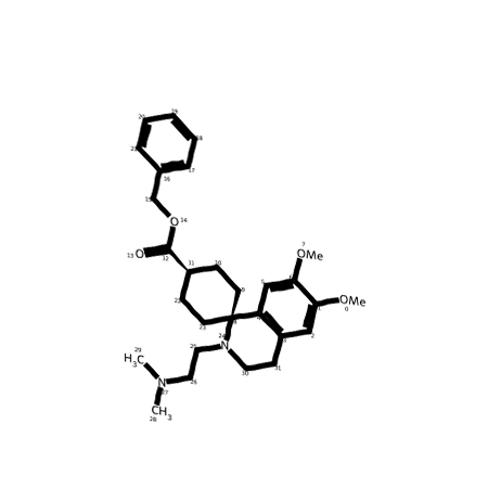 COc1cc2c(cc1OC)[C@]1(CC[C@H](C(=O)OCc3ccccc3)CC1)N(CCN(C)C)CC2